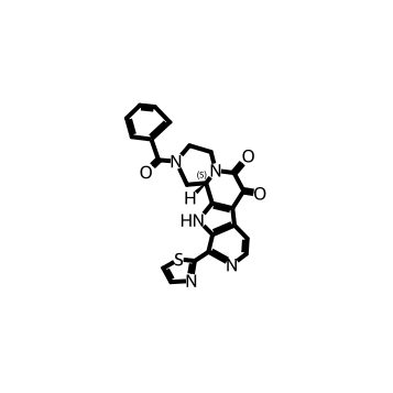 O=C1C(=O)N2CCN(C(=O)c3ccccc3)C[C@H]2c2[nH]c3c(-c4nccs4)nccc3c21